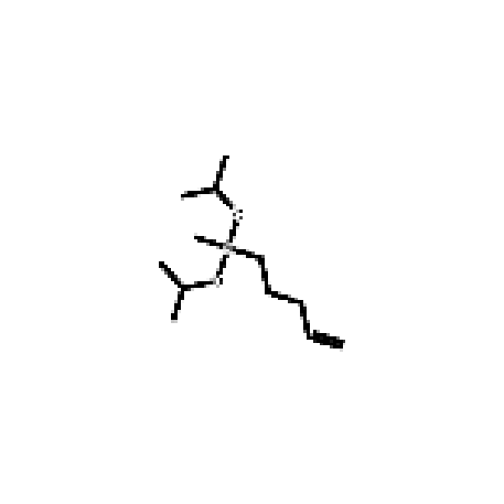 C=CCCC[Si](C)(OC(C)C)OC(C)C